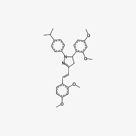 COc1ccc(C=CC2=NN(c3ccc(C(C)C)cc3)C(c3ccc(OC)cc3OC)C2)c(OC)c1